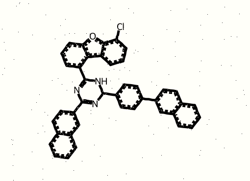 Clc1cccc2c1oc1cccc(C3=NC(c4ccc5ccccc5c4)=NC(c4ccc(-c5ccc6ccccc6c5)cc4)N3)c12